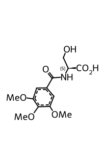 COc1cc(C(=O)N[C@@H](CO)C(=O)O)cc(OC)c1OC